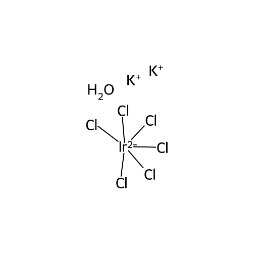 O.[Cl][Ir-2]([Cl])([Cl])([Cl])([Cl])[Cl].[K+].[K+]